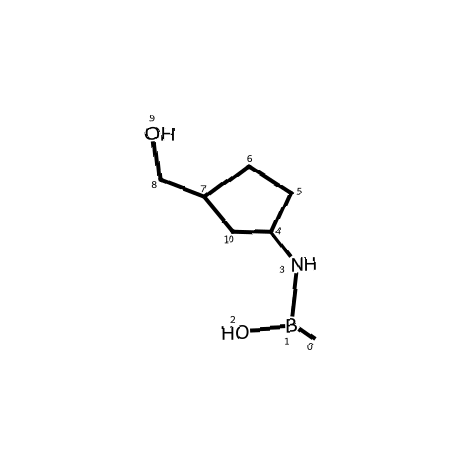 CB(O)NC1CCC(CO)C1